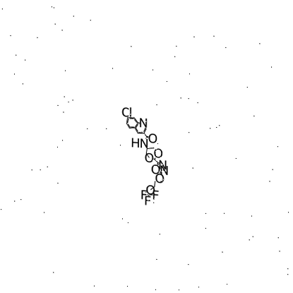 O=C(NC1COC(c2nnc(OCCOC(F)(F)F)o2)OC1)c1cnc2cc(Cl)ccc2c1